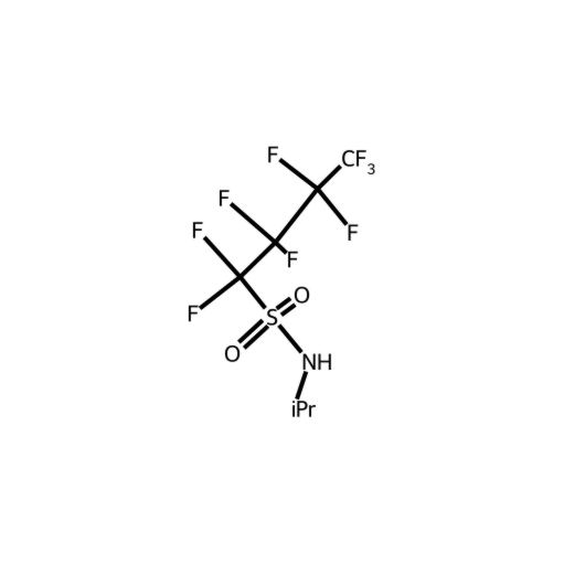 CC(C)NS(=O)(=O)C(F)(F)C(F)(F)C(F)(F)C(F)(F)F